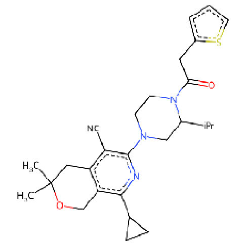 CC(C)C1CN(c2nc(C3CC3)c3c(c2C#N)CC(C)(C)OC3)CCN1C(=O)Cc1cccs1